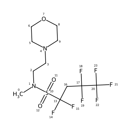 CN(CCN1CCOCC1)S(=O)(=O)C(F)(F)CC(F)(F)C(F)(F)F